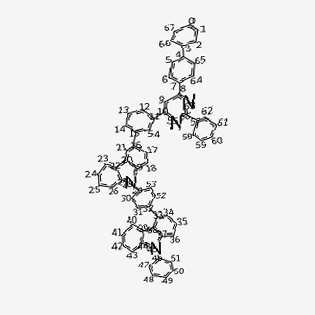 c1ccc(-c2ccc(-c3cc(-c4cccc(-c5ccc6c(c5)c5ccccc5n6-c5ccc(-c6cccc7c6c6ccccc6n7-c6ccccc6)cc5)c4)nc(-c4ccccc4)n3)cc2)cc1